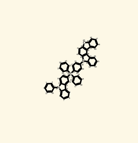 c1ccc(-n2c3ccccc3c3cc(S(c4ccccc4)(c4ccccc4)c4ccc(-n5c6ccccc6c6c7c(ccc65)oc5ccccc57)cc4)ccc32)cc1